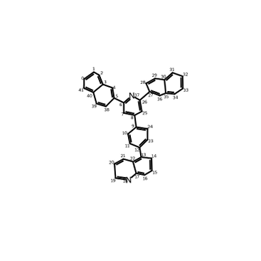 c1ccc2cc(-c3cc(-c4ccc(-c5cccc6ncccc56)cc4)cc(-c4ccc5ccccc5c4)n3)ccc2c1